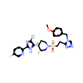 COc1ccc(Cn2cnnc2CCS(=O)(=O)N2CC[C@@H](c3[nH]c(-c4ccc(F)cn4)nc3Cl)[C@@H](C)C2)cc1